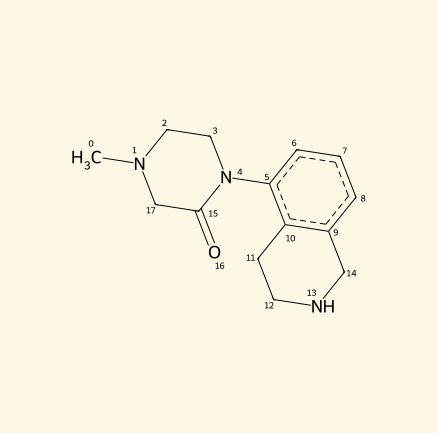 CN1CCN(c2cccc3c2CCNC3)C(=O)C1